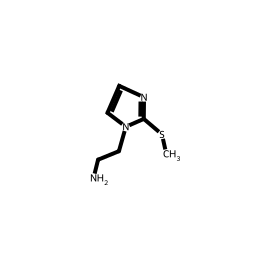 CSc1nccn1CCN